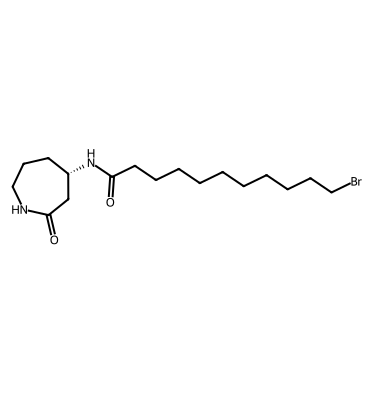 O=C1C[C@@H](NC(=O)CCCCCCCCCCBr)CCCN1